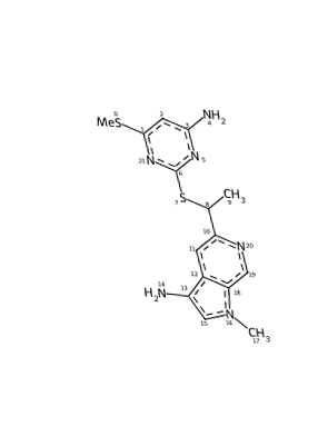 CSc1cc(N)nc(SC(C)c2cc3c(N)cn(C)c3cn2)n1